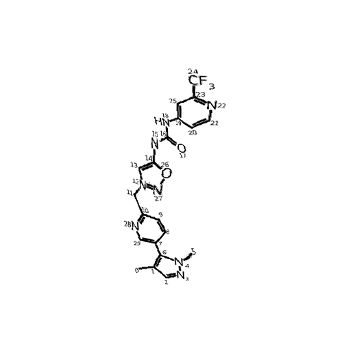 Cc1cnn(C)c1-c1ccc(C[n+]2cc([N-]C(=O)Nc3ccnc(C(F)(F)F)c3)on2)nc1